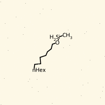 CCCCCCCCCCCCCO[SiH2]C